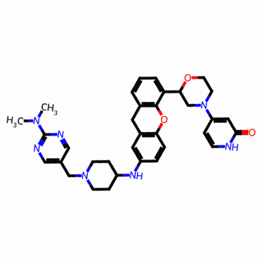 CN(C)c1ncc(CN2CCC(Nc3ccc4c(c3)Cc3cccc(C5CN(c6cc[nH]c(=O)c6)CCO5)c3O4)CC2)cn1